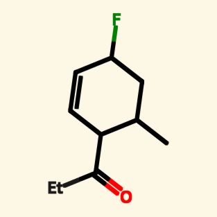 CCC(=O)C1C=CC(F)CC1C